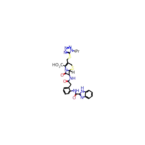 CC(C)n1nnnc1SCC1=C(C(=O)O)N2C(=O)C(NC(=O)Cc3ccccc3NC(=O)c3nc4ccccc4[nH]3)[C@H]2SC1